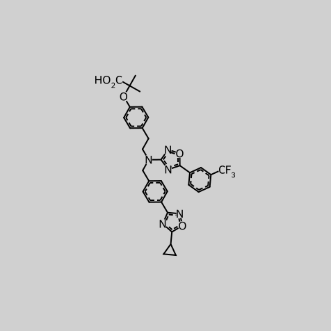 CC(C)(Oc1ccc(CCN(Cc2ccc(-c3noc(C4CC4)n3)cc2)c2noc(-c3cccc(C(F)(F)F)c3)n2)cc1)C(=O)O